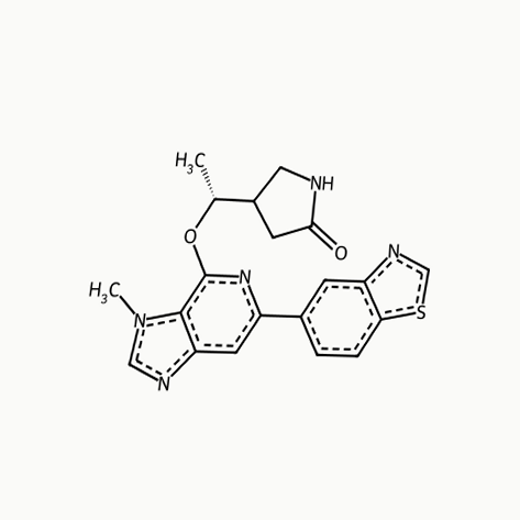 C[C@@H](Oc1nc(-c2ccc3scnc3c2)cc2ncn(C)c12)C1CNC(=O)C1